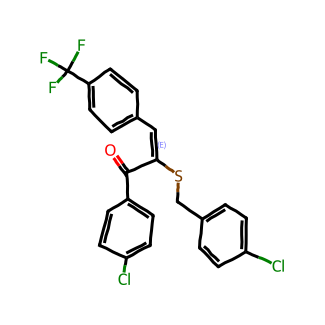 O=C(/C(=C\c1ccc(C(F)(F)F)cc1)SCc1ccc(Cl)cc1)c1ccc(Cl)cc1